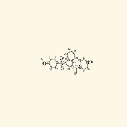 COc1ccc(S(=O)(=O)n2cc(C(C)N3CCN(C)CC3)c3ccccc32)cc1